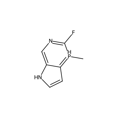 C[PH]1=c2cc[nH]c2=CN=C1F